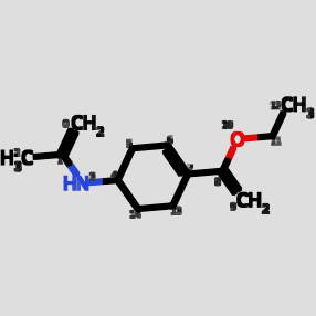 C=C(C)NC1CC=C(C(=C)OCC)CC1